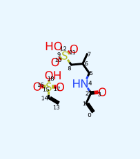 C=CC(=O)NCC(C)CS(=O)(=O)O.C=CS(=O)(=O)O